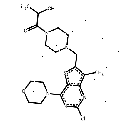 Cc1c(CN2CCN(C(=O)C(C)O)CC2)sc2c(N3CCOCC3)nc(Cl)nc12